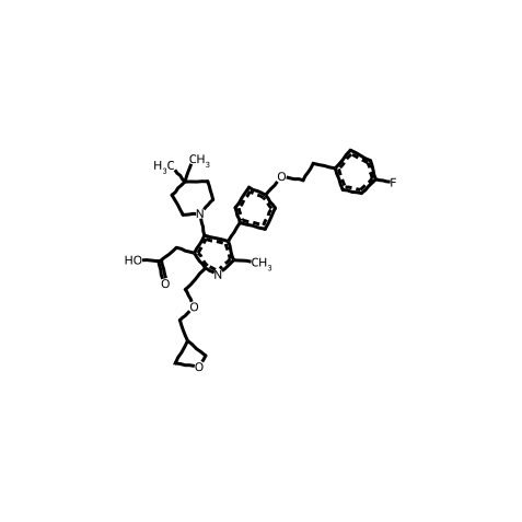 Cc1nc(COCC2COC2)c(CC(=O)O)c(N2CCC(C)(C)CC2)c1-c1ccc(OCCc2ccc(F)cc2)cc1